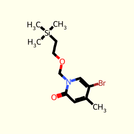 Cc1cc(=O)n(COCC[Si](C)(C)C)cc1Br